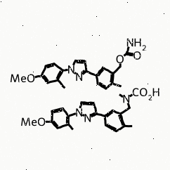 COc1ccc(-n2ccc(-c3ccc(C)c(CN(C)C(=O)O)c3)n2)c(C)c1.COc1ccc(-n2ccc(-c3ccc(C)c(COC(N)=O)c3)n2)c(C)c1